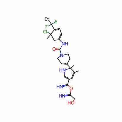 CCC(F)(F)C1=CC=C(NC(=O)N2CC=C(C3(C)NC=C(C(=N)OC(=N)CO)C=C3C)CC2)CC1(C)Cl